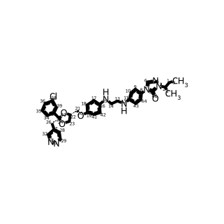 CCC(C)n1ncn(-c2ccc(NCCNc3ccc(OC[C@@H]4CO[C@@](Cc5ccnnc5)(c5cccc(Cl)c5)O4)cc3)cc2)c1=O